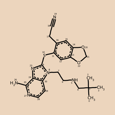 CC(C)(C)CNCCn1c(Sc2cc3c(cc2CC#N)OCO3)nc2c(N)nccc21